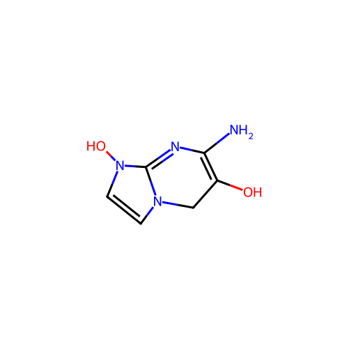 NC1=C(O)CN2C=CN(O)C2=N1